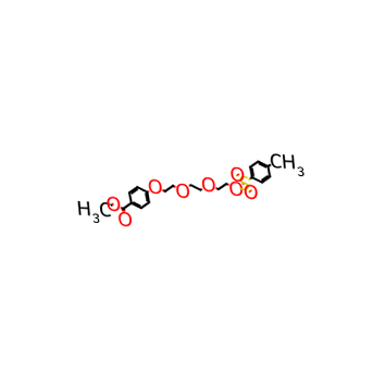 COC(=O)c1ccc(OCCOCCOCCOS(=O)(=O)c2ccc(C)cc2)cc1